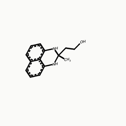 CC1(CCO)Nc2cccc3cccc(c23)N1